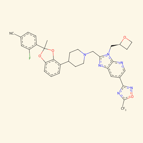 CC1(c2ccc(C#N)cc2F)Oc2cccc(C3CCN(Cc4nc5cc(-c6noc(C(F)(F)F)n6)cnc5n4C[C@@H]4CCO4)CC3)c2O1